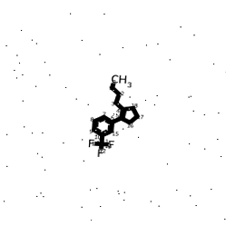 CCCCC1=C(c2cccc(C(F)(F)F)c2)CCC1